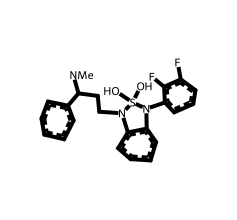 CNC(CCN1c2ccccc2N(c2cccc(F)c2F)S1(O)O)c1ccccc1